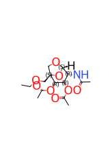 CCOC[C@@]12CO[C@@H](O1)[C@H](NC(C)=O)[C@@H](OC(C)=O)[C@H]2OC(C)=O